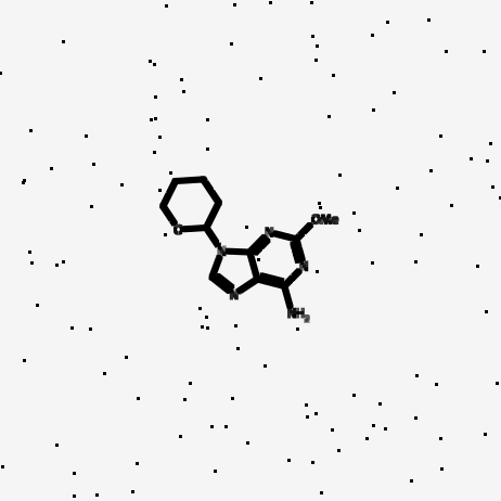 COc1nc(N)c2ncn(C3CCCCO3)c2n1